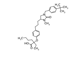 CCCCC(CC)(Oc1ccc(CCCC2CN(Cc3ccc(C(C)(C)C)cc3)C(=O)N2C)cc1)C(=O)O